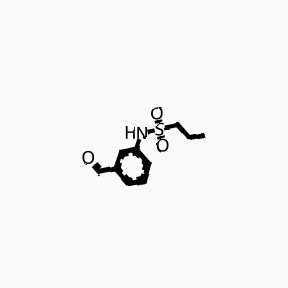 CCCS(=O)(=O)Nc1cccc([C]=O)c1